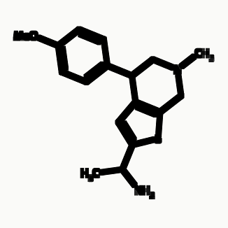 COc1ccc(C2CN(C)Cc3sc(C(C)N)cc32)cc1